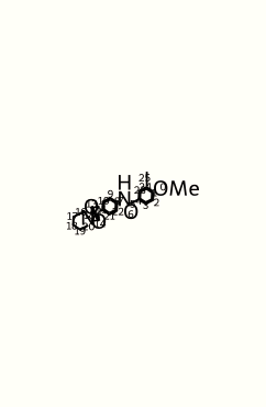 COc1ccc(C(=O)Nc2ccc(S(=O)(=O)N3CCCCC3)cc2)cc1I